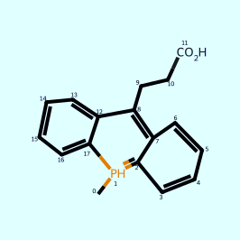 C[PH]1=c2ccccc2=C(CCC(=O)O)c2ccccc21